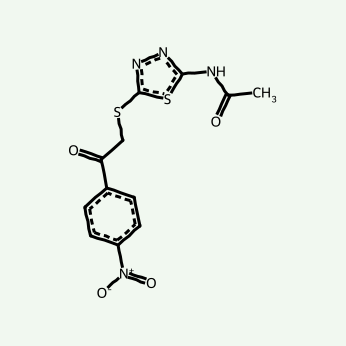 CC(=O)Nc1nnc(SCC(=O)c2ccc([N+](=O)[O-])cc2)s1